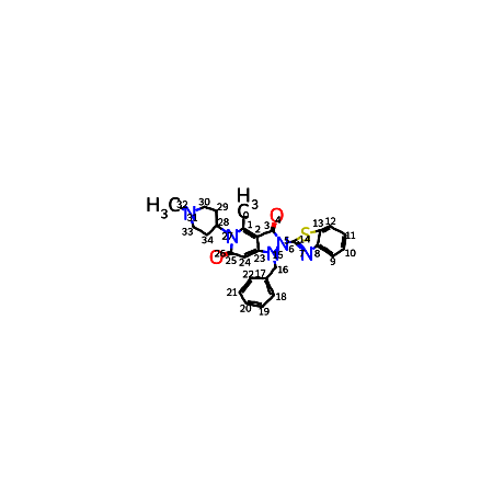 Cc1c2c(=O)n(-c3nc4ccccc4s3)n(Cc3ccccc3)c2cc(=O)n1C1CCN(C)CC1